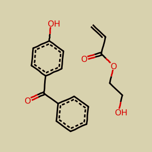 C=CC(=O)OCCO.O=C(c1ccccc1)c1ccc(O)cc1